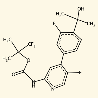 CC(C)(O)c1ccc(-c2cc(NC(=O)OC(C)(C)C(F)(F)F)ncc2F)cc1F